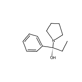 CC[C@@](O)(c1ccccc1)N1CCCC1